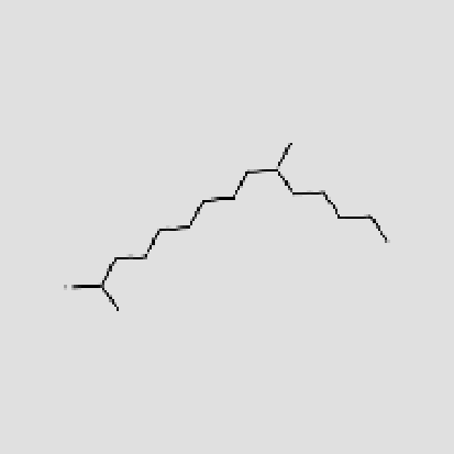 [CH2]C(C)CCCCCCCC(C)CCCCC